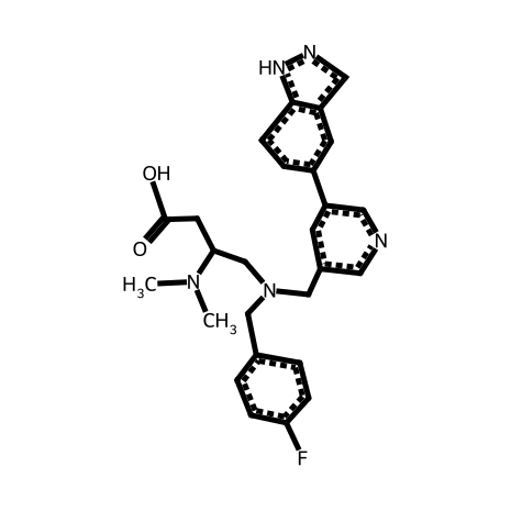 CN(C)C(CC(=O)O)CN(Cc1ccc(F)cc1)Cc1cncc(-c2ccc3[nH]ncc3c2)c1